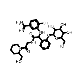 N=C(N)c1ccc(O)c(NC(C(=O)NCC(=O)N2CCCCC2CO)c2ccccc2OC2OC(CO)C(O)C(O)C2O)c1